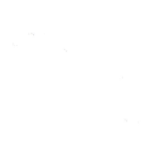 COc1cc(C)[nH]c(=O)c1CNC(=O)c1cc(Cl)c2c(c1C)OC(C)(C1CCC(N(C)C)CC1)O2